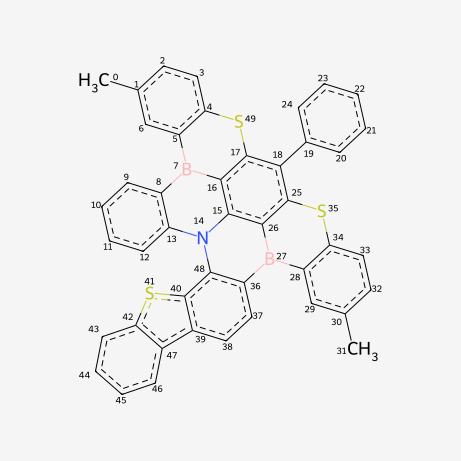 Cc1ccc2c(c1)B1c3ccccc3N3c4c1c(c(-c1ccccc1)c1c4B(c4cc(C)ccc4S1)c1ccc4c(sc5ccccc54)c13)S2